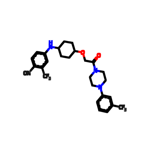 O=Nc1ccc(NC2CCC(OCC(=O)N3CCN(c4cccc(C(F)(F)F)c4)CC3)CC2)cc1C(F)(F)F